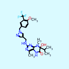 COc1ccc(Cn2cc(CNc3nc(C)c4c(n3)N(C)[C@](O)(C(C)C)C(=O)N4)cn2)cc1C(F)(F)F